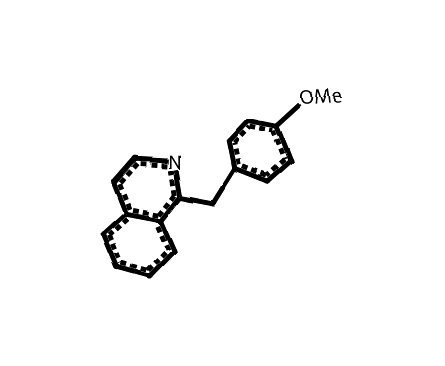 COc1ccc(Cc2nccc3ccccc23)cc1